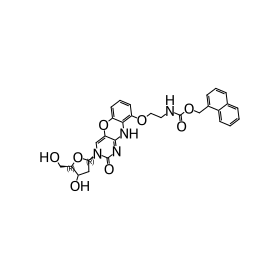 O=C(NCCOc1cccc2c1Nc1nc(=O)n([C@H]3CC(O)[C@@H](CO)O3)cc1O2)OCc1cccc2ccccc12